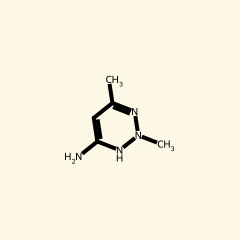 CC1=NN(C)NC(N)=C1